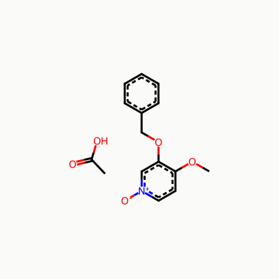 CC(=O)O.COc1cc[n+]([O-])cc1OCc1ccccc1